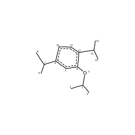 CC(C)Oc1cc(C(C)C)ccc1C(C)C